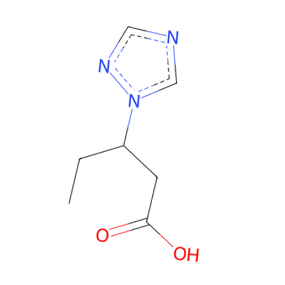 CCC(CC(=O)O)n1cncn1